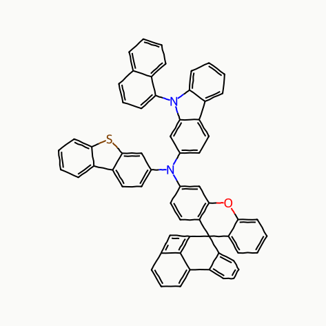 c1ccc2c(c1)Oc1cc(N(c3ccc4c(c3)sc3ccccc34)c3ccc4c5ccccc5n(-c5cccc6ccccc56)c4c3)ccc1C21c2ccccc2-c2cccc3cccc1c23